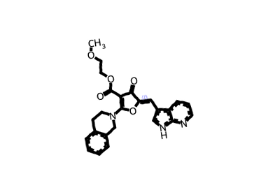 COCCOC(=O)C1=C(N2CCc3ccccc3C2)O/C(=C\c2c[nH]c3ncccc23)C1=O